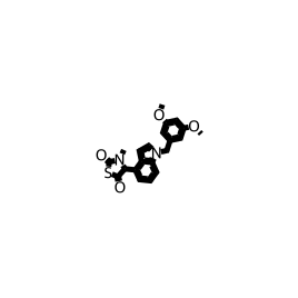 COc1cc(Cn2ccc3c(C4C(=O)SC(=O)N4C)cccc32)cc(OC)c1